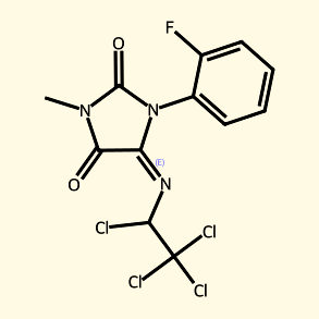 CN1C(=O)/C(=N\C(Cl)C(Cl)(Cl)Cl)N(c2ccccc2F)C1=O